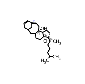 CC(C)CCC[C@@H](C)[C@H]1CCC2[C@]3(O)C/C=C4/C=CCC(C4)CC3CC[C@@]21C